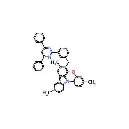 Cc1ccc2c(c1)Oc1c(Cc3cccc(-c4nc(-c5ccccc5)cc(-c5ccccc5)n4)c3)c(C)cc3c4cc(C)ccc4n-2c13